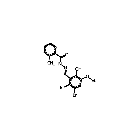 CCOc1cc(Br)c(Br)c(/C=N/NC(=O)c2ccccc2C)c1O